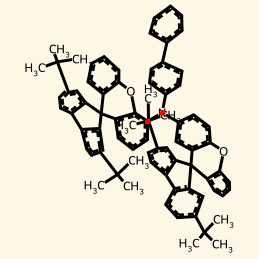 CC(C)(C)c1ccc2c(c1)C1(c3ccccc3Oc3ccc(N(c4ccc(-c5ccccc5)cc4)c4cccc5c4Oc4ccccc4C54c5cc(C(C)(C)C)ccc5-c5ccc(C(C)(C)C)cc54)cc31)c1cc(C(C)(C)C)ccc1-2